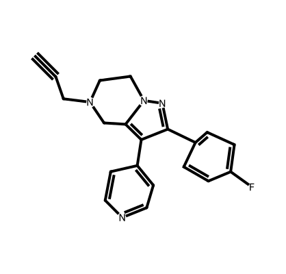 C#CCN1CCn2nc(-c3ccc(F)cc3)c(-c3ccncc3)c2C1